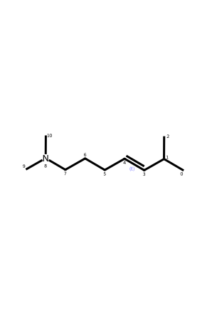 CC(C)/C=C/CCCN(C)C